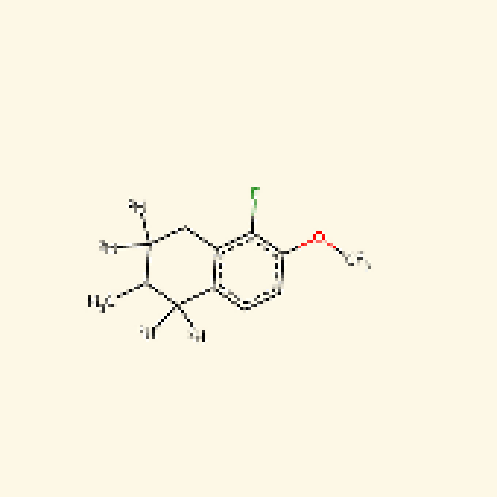 [2H]C1([2H])Cc2c(ccc(OC(F)(F)F)c2F)C([2H])([2H])C1C